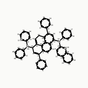 C1=C(c2ccccc2)c2ccc3c(N(c4ccccc4)c4ccc5ccccc5n4)cc(-c4ccccc4)c4c3c2C(=CC4)C1N(c1ccccc1)c1ccccn1